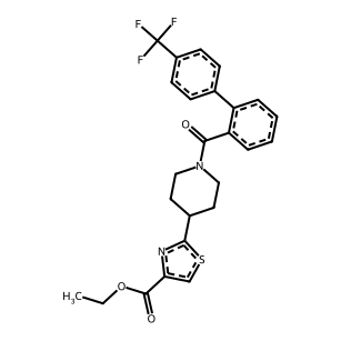 CCOC(=O)c1csc(C2CCN(C(=O)c3ccccc3-c3ccc(C(F)(F)F)cc3)CC2)n1